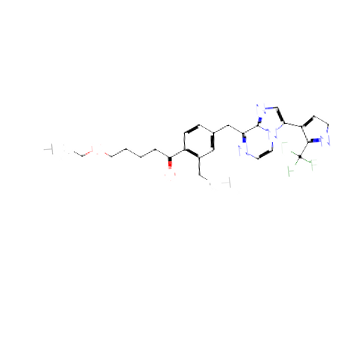 CCOCCCCC(=O)c1ccc(Cc2nccn3c(C4=CCN=C4C(F)(F)F)cnc23)cc1CC